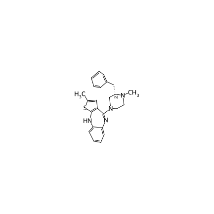 Cc1cc2c(s1)Nc1ccccc1N=C2N1CCN(C)[C@@H](Cc2ccccc2)C1